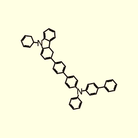 C1=CCC(N2C3=CC=C(c4ccc(-c5ccc(N(c6ccccc6)c6ccc(-c7ccccc7)cc6)cc5)cc4)CC3c3ccccc32)C=C1